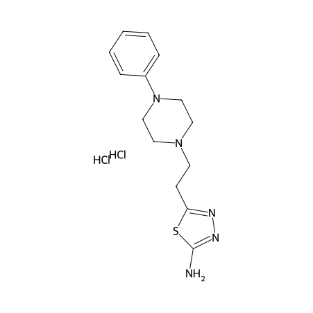 Cl.Cl.Nc1nnc(CCN2CCN(c3ccccc3)CC2)s1